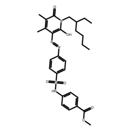 CCCCC(CC)Cn1c(O)c(/N=N/c2ccc(S(=O)(=O)Nc3ccc(C(=O)OC)cc3)cc2)c(C)c(C)c1=O